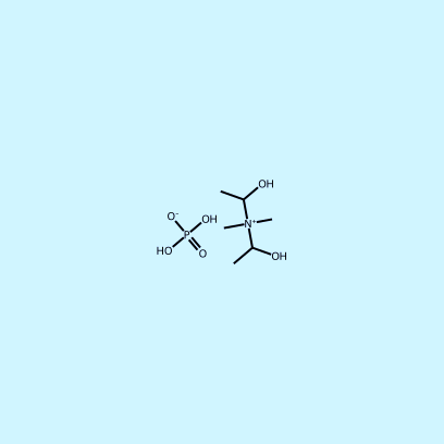 CC(O)[N+](C)(C)C(C)O.O=P([O-])(O)O